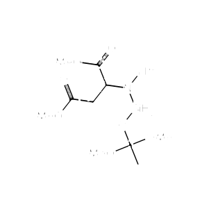 CCCN([SiH2]OC(C)(OC)OC)C(CC(=O)OC)C(=O)OC